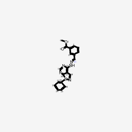 COC(=O)c1cccc(/C=N/Nc2ncnc3c2cnn3-c2ccccc2)c1